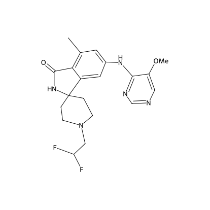 COc1cncnc1Nc1cc(C)c2c(c1)C1(CCN(CC(F)F)CC1)NC2=O